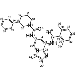 [2H]C(Nc1cc(NC(=O)N2CCCC(c3ccccc3)C2)cn2c(C)c(C)nc12)c1c(C)cccc1C